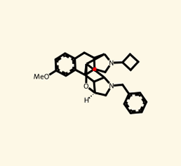 COc1ccc2c(c1)C13C4CN(C5CCC5)C(C4C2)C12CCC1C3[C@@H](CN1Cc1ccccc1)O2